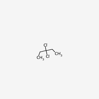 CCC(Cl)(Cl)CC